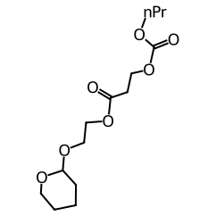 CCCOC(=O)OCCC(=O)OCCOC1CCCCO1